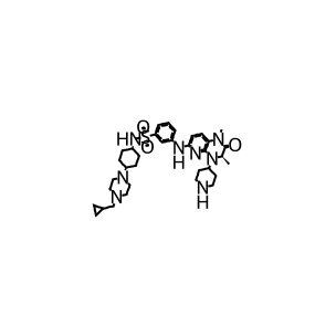 C[C@@H]1C(=O)N(C)c2ccc(Nc3cccc(S(=O)(=O)N[C@H]4CC[C@H](N5CCN(CC6CC6)CC5)CC4)c3)nc2N1C1CCNCC1